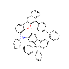 c1ccc(-c2ccc(-c3c4ccccc4cc4c3oc3c(N(c5ccccc5)c5ccc6c(c5)C(c5ccccc5)(c5ccccc5)c5ccccc5-6)cccc34)cc2)cc1